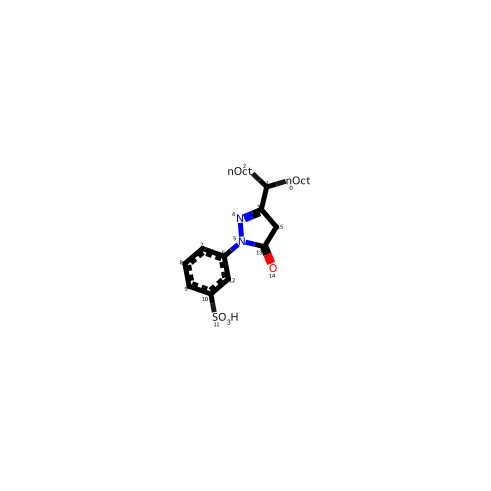 CCCCCCCCC(CCCCCCCC)C1=NN(c2cccc(S(=O)(=O)O)c2)C(=O)C1